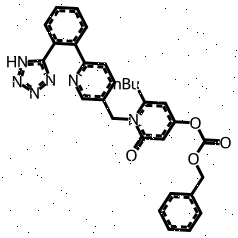 CCCCc1cc(OC(=O)OCc2ccccc2)cc(=O)n1Cc1ccc(-c2ccccc2-c2nnn[nH]2)nc1